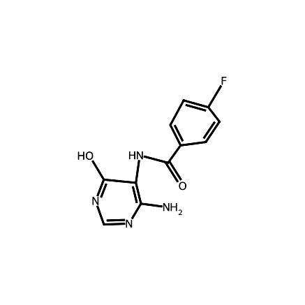 Nc1ncnc(O)c1NC(=O)c1ccc(F)cc1